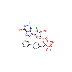 O=C(O)C(Cc1ccc(-c2ccccc2)cc1)(OC[C@H]1O[C@@H](n2cnc3c(O)nc(Cl)nc32)[C@@H](F)[C@@H]1O)C(=O)O